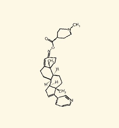 CN1CCC(C(=O)ON=C2C=C3CC[C@H]4[C@H](CC[C@]5(C)C(c6cccnc6)=CC[C@@H]45)[C@@]3(C)CC2)CC1